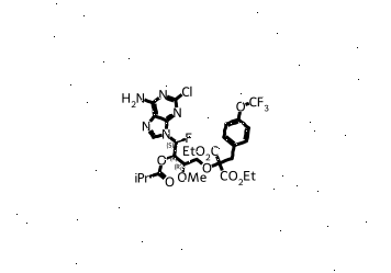 CCOC(=O)C(Cc1ccc(OC(F)(F)F)cc1)(OC[C@@H](OC)[C@@H](OC(=O)C(C)C)[C@H](F)n1cnc2c(N)nc(Cl)nc21)C(=O)OCC